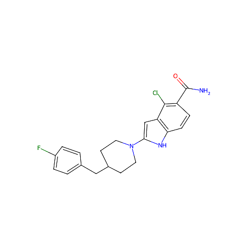 NC(=O)c1ccc2[nH]c(N3CCC(Cc4ccc(F)cc4)CC3)cc2c1Cl